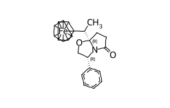 CC([C]12[CH]3[CH]4[CH]5[CH]1[Fe]45321678[CH]2[CH]1[CH]6[CH]7[CH]28)[C@]12CCC(=O)N1[C@H](c1ccccc1)CO2